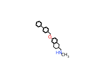 CNCC1CCc2cc(OCc3ccc(-c4ccccc4)cc3)ccc2C1